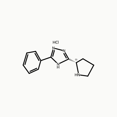 Cl.c1ccc(-c2nnc([C@@H]3CCCN3)[nH]2)cc1